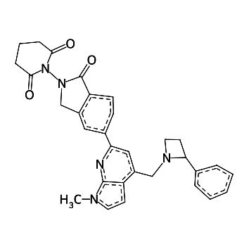 Cn1ccc2c(CN3CCC3c3ccccc3)cc(-c3ccc4c(c3)CN(N3C(=O)CCCC3=O)C4=O)nc21